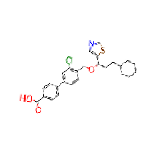 O=C(O)c1ccc(-c2ccc(COC(CCC3CCCCC3)c3cncs3)c(Cl)c2)cc1